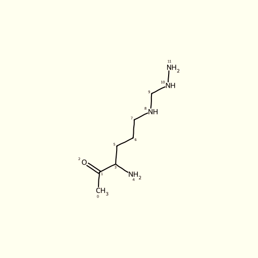 CC(=O)C(N)CCCNCNN